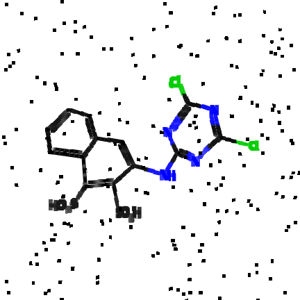 O=S(=O)(O)c1c(Nc2nc(Cl)nc(Cl)n2)cc2ccccc2c1S(=O)(=O)O